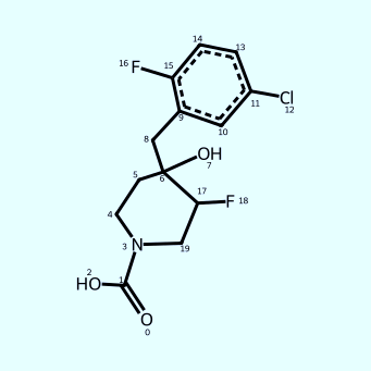 O=C(O)N1CCC(O)(Cc2cc(Cl)ccc2F)C(F)C1